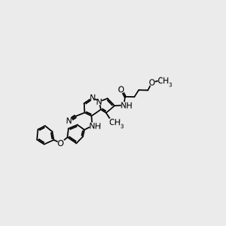 COCCCC(=O)Nc1cn2ncc(C#N)c(Nc3ccc(Oc4ccccc4)cc3)c2c1C